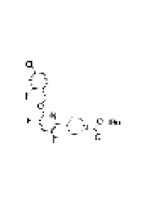 CC(C)(C)OC(=O)N1CCC(c2nc(OCc3ccc(Cl)cc3F)c(F)cc2F)CC1